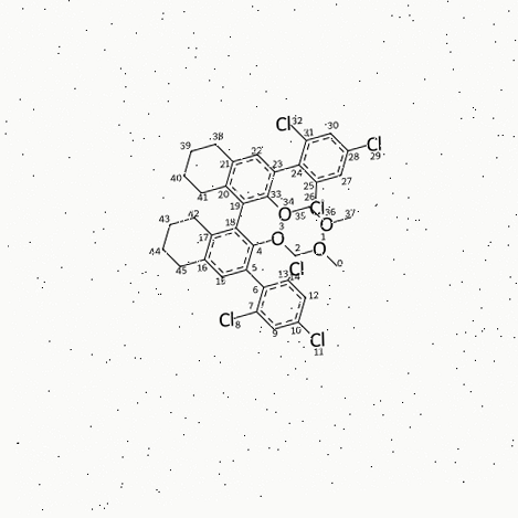 COCOc1c(-c2c(Cl)cc(Cl)cc2Cl)cc2c(c1-c1c3c(cc(-c4c(Cl)cc(Cl)cc4Cl)c1OCOC)CCCC3)CCCC2